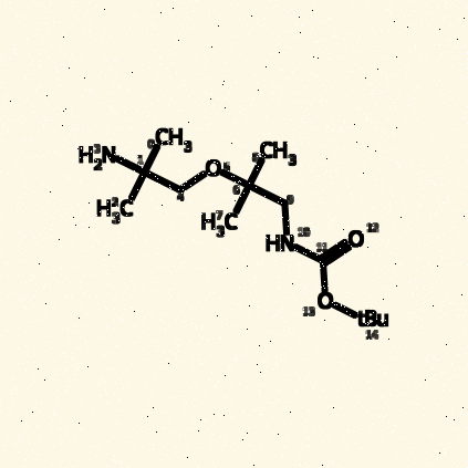 CC(C)(N)COC(C)(C)CNC(=O)OC(C)(C)C